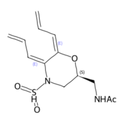 C=C/C=C1/O[C@@H](CNC(C)=O)CN([SH](=O)=O)/C1=C/C=C